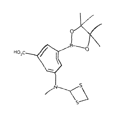 CN(c1cc(B2OC(C)(C)C(C)(C)O2)cc(C(=O)O)c1)C1SCS1